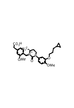 COc1cc(CC(=O)O)ccc1CN1C(=O)N(c2ccc(OC)c(OCCCC3CC3)c2)CC[C@@H]1C